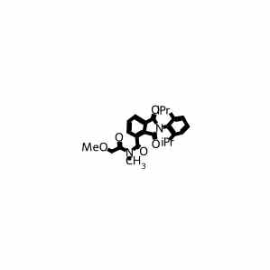 COCC(=O)N(C)C(=O)c1cccc2c1C(=O)N(c1c(C(C)C)cccc1C(C)C)C2=O